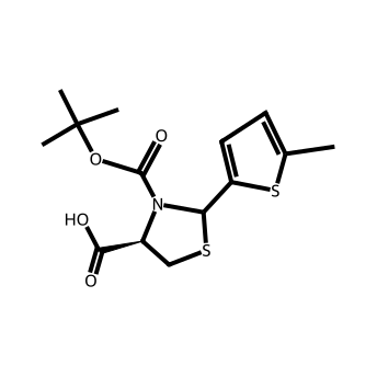 Cc1ccc(C2SC[C@@H](C(=O)O)N2C(=O)OC(C)(C)C)s1